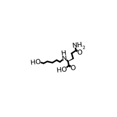 NC(=O)CC[C@H](NCCCCCO)C(=O)O